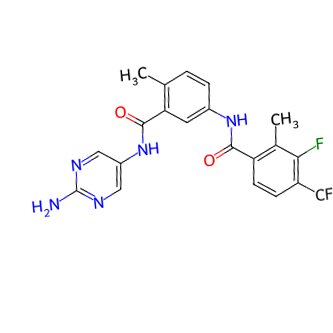 Cc1ccc(NC(=O)c2ccc(C(F)(F)F)c(F)c2C)cc1C(=O)Nc1cnc(N)nc1